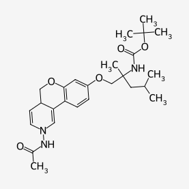 CC(=O)NN1C=CC2COc3cc(OCC(C)(CC(C)C)NC(=O)OC(C)(C)C)ccc3C2=C1